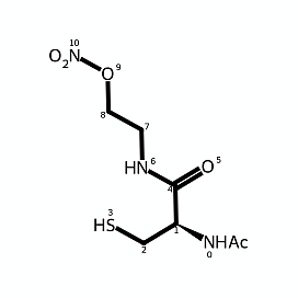 CC(=O)N[C@@H](CS)C(=O)NCCO[N+](=O)[O-]